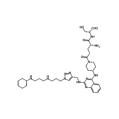 NC(CCC(=O)N1CCC(Nc2nc(NCc3cn(CCCNCCCNC4CCCCC4)nn3)nc3ccccc23)CC1)C(=O)NC(C=O)CO